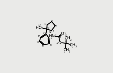 CC(C)(C)OC(=O)N[C@H]1CCCC1(O)c1ccccc1